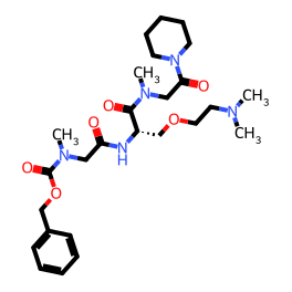 CN(C)CCOC[C@H](NC(=O)CN(C)C(=O)OCc1ccccc1)C(=O)N(C)CC(=O)N1CCCCC1